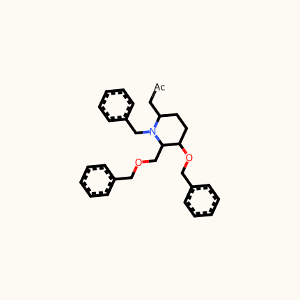 CC(=O)CC1CCC(OCc2ccccc2)C(COCc2ccccc2)N1Cc1ccccc1